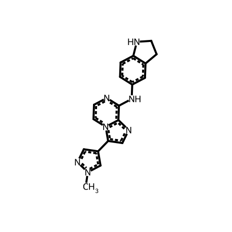 Cn1cc(-c2cnc3c(Nc4ccc5c(c4)CCN5)nccn23)cn1